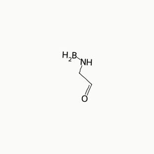 BNCC=O